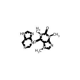 Cn1c(=O)c2c(ncn2C)n(C)c1=O.c1ncc2[nH]cnc2n1